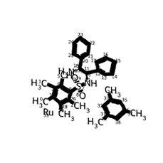 Cc1c(C)c(C)c(S(=O)(=O)N[C@H](c2ccccc2)[C@H](N)c2ccccc2)c(C)c1C.Cc1cc(C)cc(C)c1.[Ru]